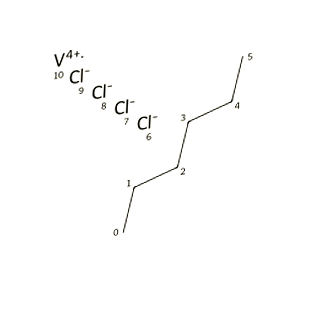 CCCCCC.[Cl-].[Cl-].[Cl-].[Cl-].[V+4]